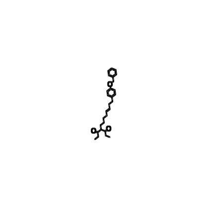 CCC(=O)C(CCCCC=CCCc1ccc(OCc2ccccc2)cc1)C(=O)CC